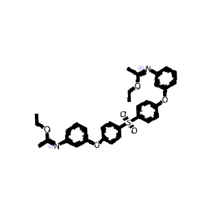 CCO/C(C)=N\c1cccc(Oc2ccc(S(=O)(=O)c3ccc(Oc4cccc(/N=C(/C)OCC)c4)cc3)cc2)c1